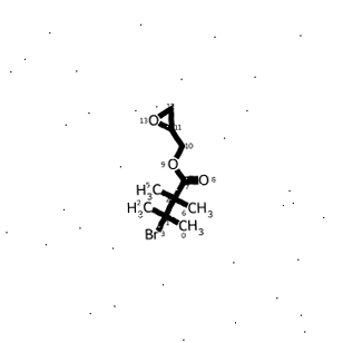 CC(C)(Br)C(C)(C)C(=O)OCC1CO1